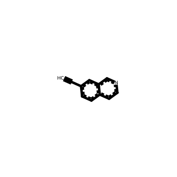 C#Cc1ccc2c[c]ncc2c1